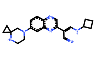 N=C/C(=C\NC1CCC1)c1cnc2ccc(N3CCNC4(CC4)C3)cc2n1